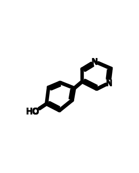 Oc1ccc(-c2cncnc2)cc1